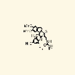 COc1cc2c(cc1OC)-c1c/c(=N\c3c(C)cc(C)cc3C)n(CCNC(=O)NC(C)C)c(=O)n1CC2